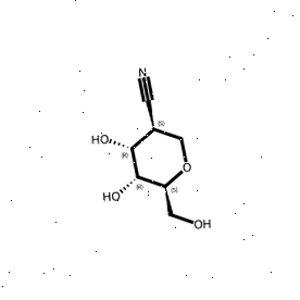 N#C[C@H]1CO[C@@H](CO)[C@H](O)[C@@H]1O